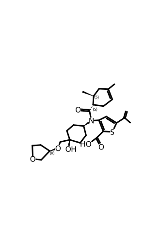 C=C(C)c1cc(N(C(=O)[C@H]2CC=C(C)C[C@@H]2C)[C@H]2CC[C@](O)(CO[C@@H]3CCOC3)CC2)c(C(=O)O)s1